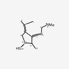 CNC/N=C1\C(=C(C)C)CN(S)C1C